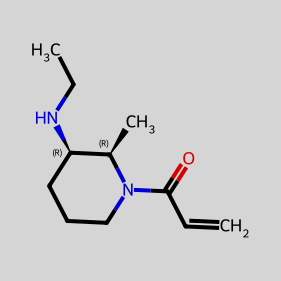 C=CC(=O)N1CCC[C@@H](NCC)[C@H]1C